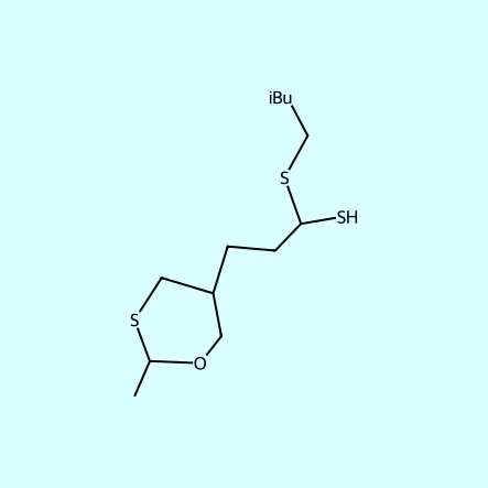 CCC(C)CSC(S)CCC1COC(C)SC1